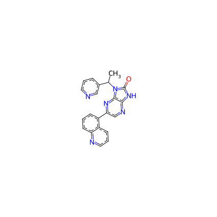 CC(c1cccnc1)n1c(=O)[nH]c2ncc(-c3cccc4ncccc34)nc21